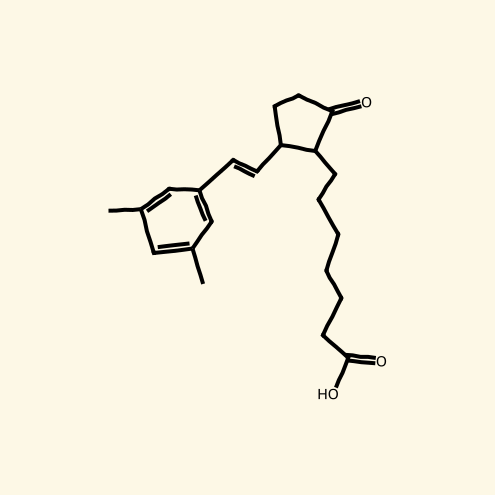 Cc1cc(C)cc(C=CC2CCC(=O)C2CCCCCCC(=O)O)c1